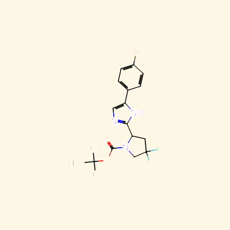 CC(C)(C)OC(=O)N1CC(F)(F)CC1c1ncc(-c2ccc(Br)cc2)[nH]1